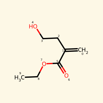 C=C(CCO)C(=O)OCC